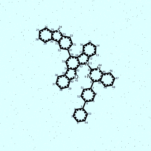 c1ccc(-c2ccc(-c3nc(-n4c5ccccc5c5c(-c6ccc7sc8ccccc8c7c6)cc6c7ccccc7oc6c54)nc4ccccc34)cc2)cc1